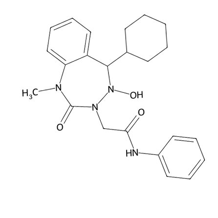 CN1C(=O)N(CC(=O)Nc2ccccc2)N(O)C(C2CCCCC2)c2ccccc21